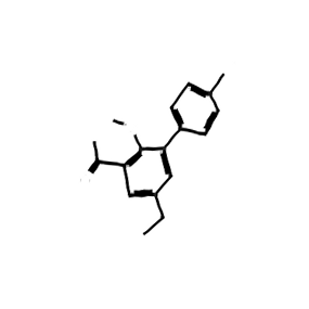 CCc1cc(C(C)=O)c(OC)c(-c2ccc(O)cc2)c1